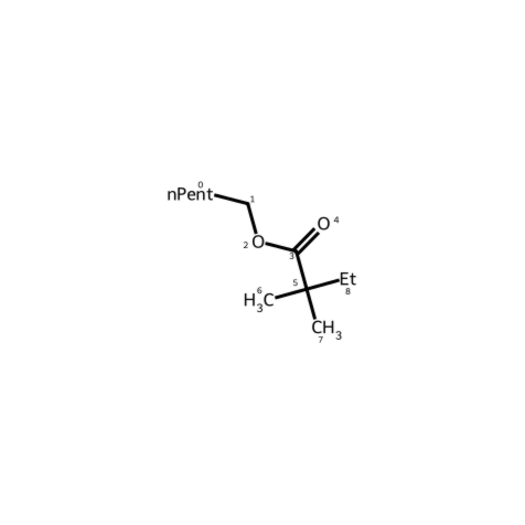 CCCCCCOC(=O)C(C)(C)CC